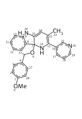 COc1ccc(COC2(c3ccccc3)NC(c3cccnc3)=C(C)C=C2N)cc1